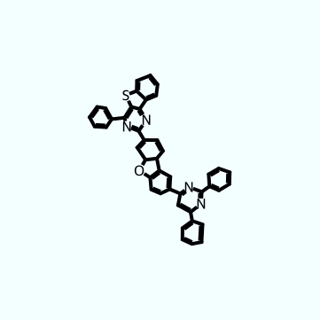 C1=CC2c3cc(-c4cc(-c5ccccc5)nc(-c5ccccc5)n4)ccc3OC2C=C1c1nc(-c2ccccc2)c2sc3ccccc3c2n1